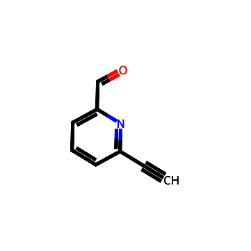 C#Cc1cccc(C=O)n1